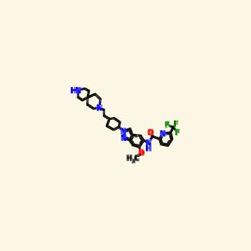 COc1cc2nn(C3CCC(CCN4CCC5(CCNCC5)CC4)CC3)cc2cc1NC(=O)c1cccc(C(F)(F)F)n1